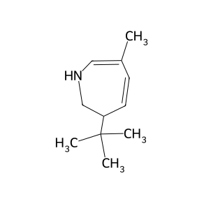 CC1=CNCC(C(C)(C)C)C=C1